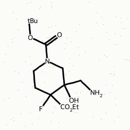 CCOC(=O)C1(F)CCN(C(=O)OC(C)(C)C)CC1(O)CN